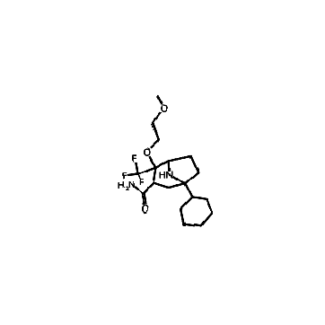 COCCOC1(C(F)(F)F)C2CCC(C3CCCCC3)(CC1C(N)=O)N2